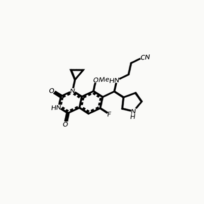 COc1c(C(NCCC#N)C2CCNC2)c(F)cc2c(=O)[nH]c(=O)n(C3CC3)c12